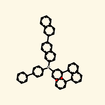 c1ccc(-c2ccc(N(c3cccc(-c4cccc5cccc(-c6ccccc6)c45)c3)c3ccc4cc(-c5ccc6ccccc6c5)ccc4c3)cc2)cc1